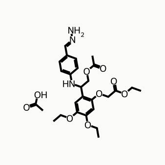 CC(=O)O.CCOC(=O)COc1cc(OCC)c(OCC)cc1C(COC(C)=O)Nc1ccc(C=NN)cc1